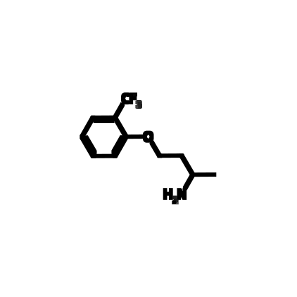 CC(N)CCOc1ccccc1C(F)(F)F